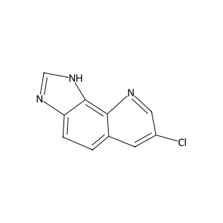 Clc1cnc2c(ccc3nc[nH]c32)c1